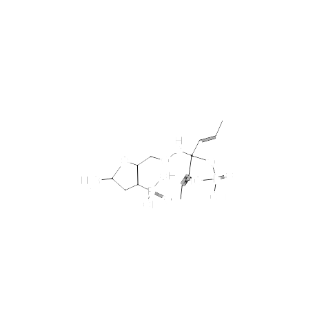 BC1CC(P(=O)(O)O)C(COPC(C#CC)(C=CC)OP(=O)(O)O)O1